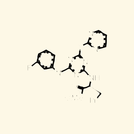 COC(=O)[C@H](CC(C)C)Nc1nc(Nc2cccc(F)c2)nc(Sc2ncccn2)n1